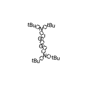 CC(C)(C)c1ccc(N(c2ccc(C(C)(C)C)cc2)c2ccc3c(ccc4c5cc6c(cc5oc34)oc3c4ccc(N(c5ccc(C(C)(C)C)cc5)c5ccc(C(C)(C)C)cc5)cc4ccc63)c2)cc1